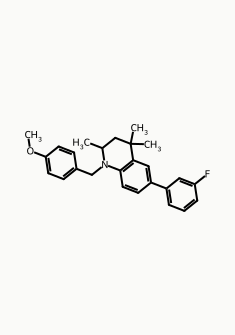 COc1ccc(CN2c3ccc(-c4cccc(F)c4)cc3C(C)(C)CC2C)cc1